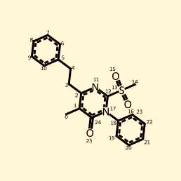 Cc1c(CCc2ccccc2)nc(S(C)(=O)=O)n(-c2ccccc2)c1=O